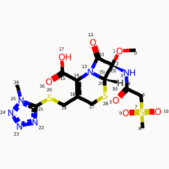 CO[C@@]1(NC(=O)CS(C)(=O)=O)C(=O)N2C(C(=O)O)=C(CSc3nnnn3C)CS[C@H]21